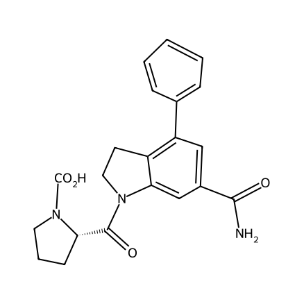 NC(=O)c1cc(-c2ccccc2)c2c(c1)N(C(=O)[C@@H]1CCCN1C(=O)O)CC2